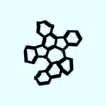 c1ccc(-n2c3ccccc3c3c4ncncc4c4c5ccccc5n(-c5cccc6ccncc56)c4c32)cc1